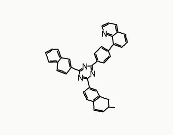 CC1C=Cc2ccc(-c3nc(-c4ccc(-c5cccc6cccnc56)cc4)nc(-c4ccc5ccccc5c4)n3)cc2C1